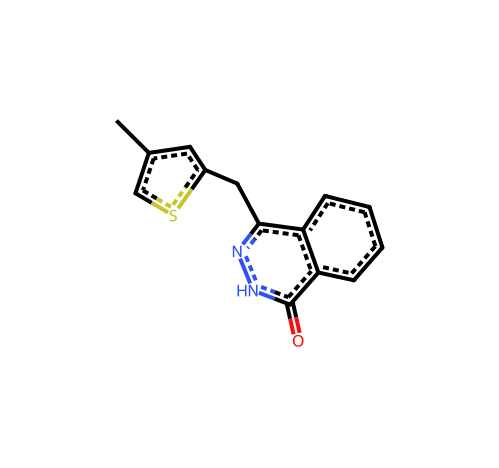 Cc1csc(Cc2n[nH]c(=O)c3ccccc23)c1